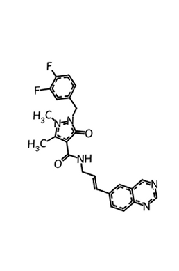 Cc1c(C(=O)NCC=Cc2ccc3ncncc3c2)c(=O)n(Cc2ccc(F)c(F)c2)n1C